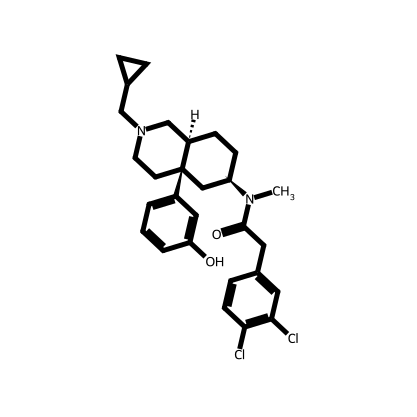 CN(C(=O)Cc1ccc(Cl)c(Cl)c1)[C@@H]1CC[C@@H]2CN(CC3CC3)CC[C@@]2(c2cccc(O)c2)C1